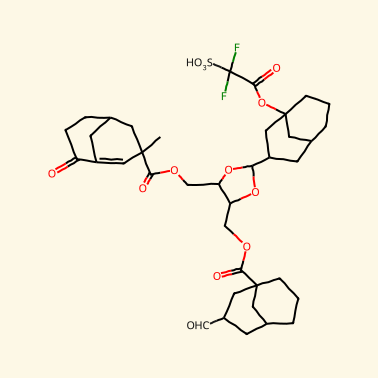 CC1(C(=O)OCC2OC(C3CC4CCCC(OC(=O)C(F)(F)S(=O)(=O)O)(C4)C3)OC2COC(=O)C23CCCC(CC(C=O)C2)C3)C=C2CC(CCC2=O)C1